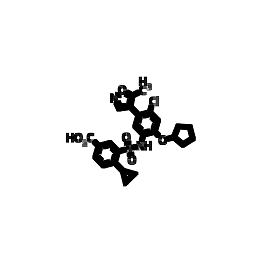 Cc1oncc1-c1cc(NS(=O)(=O)c2cc(C(=O)O)ccc2C2CC2)c(OC2CCCC2)cc1Cl